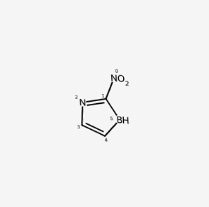 O=[N+]([O-])C1=NC=CB1